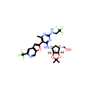 Cc1nc(NCC(F)(F)F)nc(N[C@@H]2C[C@H](CO)[C@H]3OC(C)(C)O[C@H]32)c1-c1cc2cc(C(F)(F)F)ncc2o1